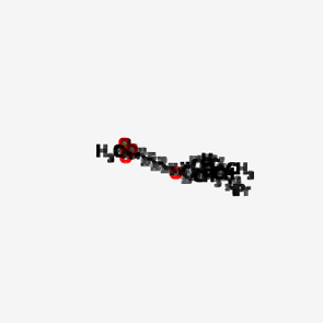 CC(C)CCC[C@@H](C)[C@H]1CC[C@H]2[C@@H]3CC=C4C[C@@H](OCCCCCCCCOS(C)(=O)=O)CC[C@]4(C)C3CC[C@]12C